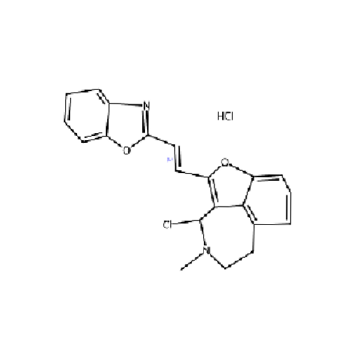 CN1CCc2cccc3oc(/C=C/c4nc5ccccc5o4)c(c23)C1Cl.Cl